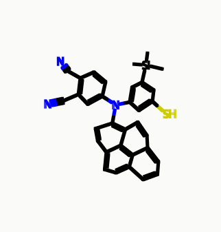 C[Si](C)(C)c1cc(S)cc(N(c2ccc(C#N)c(C#N)c2)c2ccc3ccc4cccc5ccc2c3c45)c1